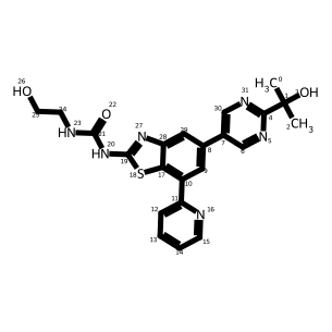 CC(C)(O)c1ncc(-c2cc(-c3ccccn3)c3sc(NC(=O)NCCO)nc3c2)cn1